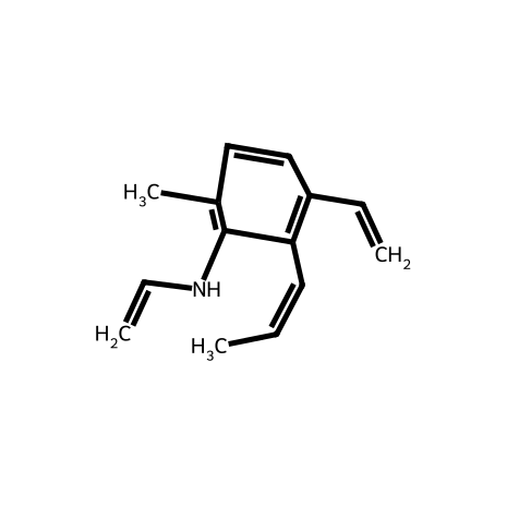 C=CNc1c(C)ccc(C=C)c1/C=C\C